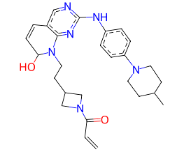 C=CC(=O)N1CC(CCN2c3nc(Nc4ccc(N5CCC(C)CC5)cc4)ncc3C=CC2O)C1